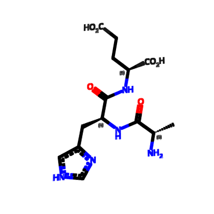 C[C@H](N)C(=O)N[C@@H](Cc1c[nH]cn1)C(=O)N[C@@H](CCC(=O)O)C(=O)O